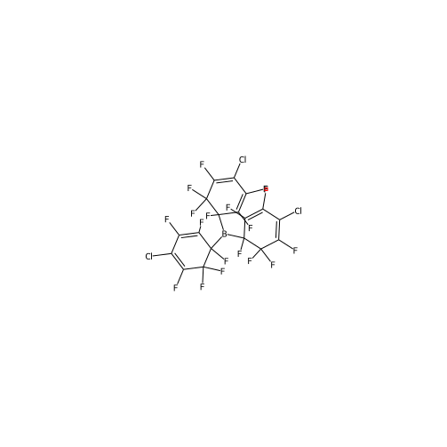 FC1=C(F)C(F)(B(C2(F)C(F)=C(F)C(Cl)=C(F)C2(F)F)C2(F)C(F)=C(F)C(Cl)=C(F)C2(F)F)C(F)(F)C(F)=C1Cl